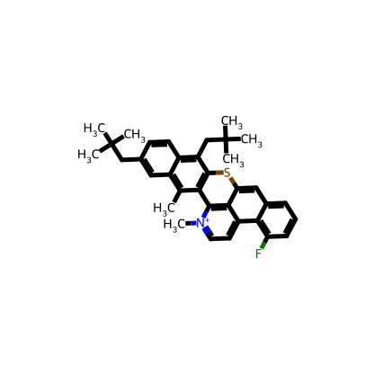 Cc1c2c(c(CC(C)(C)C)c3ccc(CC(C)(C)C)cc13)Sc1cc3cccc(F)c3c3cc[n+](C)c-2c13